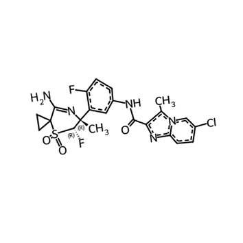 Cc1c(C(=O)Nc2ccc(F)c([C@@]3(C)N=C(N)C4(CC4)S(=O)(=O)[C@H]3F)c2)nc2ccc(Cl)cn12